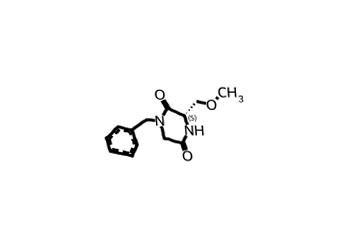 COC[C@@H]1NC(=O)CN(Cc2ccccc2)C1=O